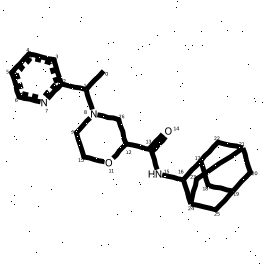 CC(c1ccccn1)N1CCOC(C(=O)NC2C3CC4CC(C3)CC2C4)C1